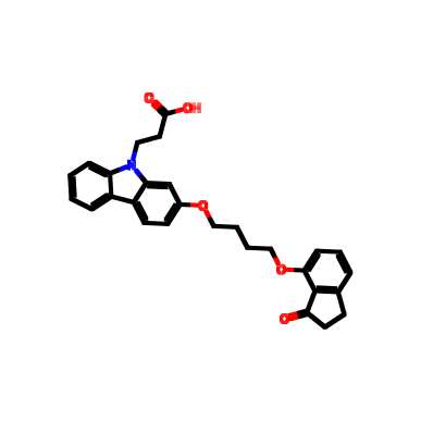 O=C(O)CCn1c2ccccc2c2ccc(OCCCCOc3cccc4c3C(=O)CC4)cc21